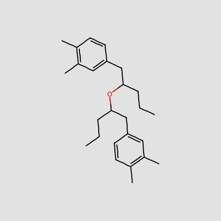 CCCC(Cc1ccc(C)c(C)c1)OC(CCC)Cc1ccc(C)c(C)c1